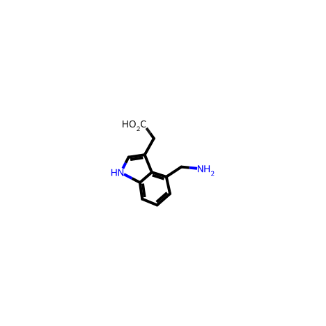 NCc1cccc2[nH]cc(CC(=O)O)c12